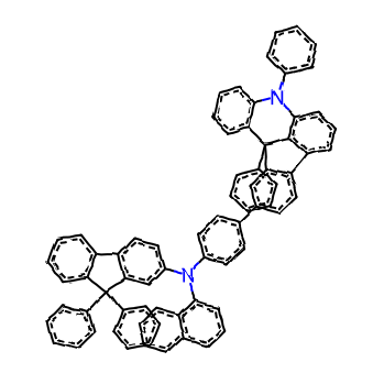 c1ccc(N2c3ccccc3C3(c4ccccc4)c4cc(-c5ccc(N(c6ccc7c(c6)C(c6ccccc6)(c6ccccc6)c6ccccc6-7)c6cccc7ccccc67)cc5)ccc4-c4cccc2c43)cc1